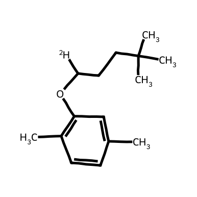 [2H]C(CCC(C)(C)C)Oc1cc(C)ccc1C